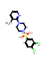 Cc1cccnc1N1CCN(S(=O)(=O)c2ccc(Cl)c(Cl)c2)CC1